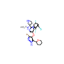 O=C(O)N[C@@]1(c2ncc(Oc3c(Br)n[nH]c3C3CCCCO3)cn2)CNC[C@@H]1c1cc(F)c(F)cc1F